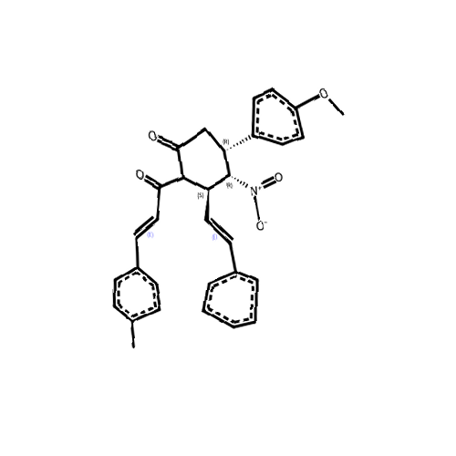 COc1ccc([C@H]2CC(=O)C(C(=O)/C=C/c3ccc(C)cc3)[C@H](/C=C/c3ccccc3)[C@H]2[N+](=O)[O-])cc1